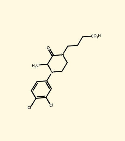 CC1C(=O)N(CCCC(=O)O)CCN1c1ccc(Cl)c(Cl)c1